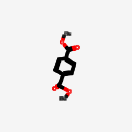 CCC(C)OC(=O)c1[c]cc(C(=O)OC(C)CC)cc1